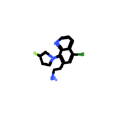 NCCc1cc(Cl)c2cccnc2c1N1CCC(F)C1